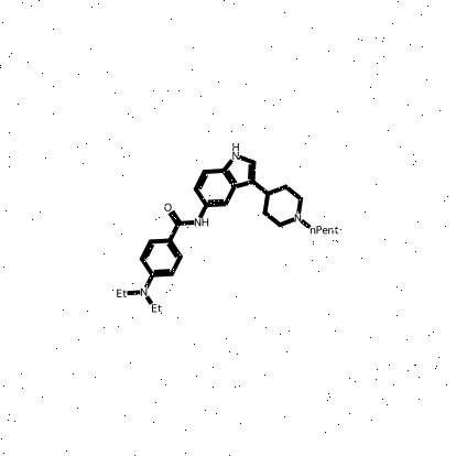 CCCCCN1CCC(c2c[nH]c3ccc(NC(=O)c4ccc(N(CC)CC)cc4)cc23)CC1